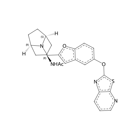 CC(=O)N[C@H]1C[C@H]2CC[C@@H](C1)N2Cc1cc2cc(Oc3nc4cccnc4s3)ccc2o1